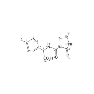 Cc1ccc(C(NC(=O)N2CC(C)NC2=O)C(=O)O)cc1